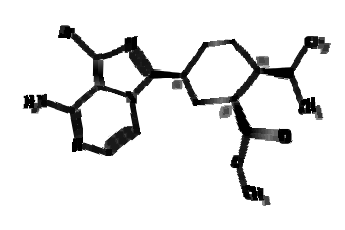 COC(=O)[C@H]1C[C@@H](c2nc(Br)c3c(N)nccn23)CC[C@H]1C(C)C